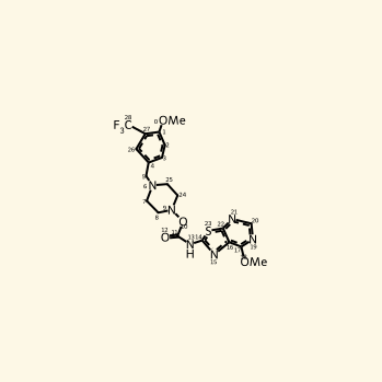 COc1ccc(CN2CCN(OC(=O)Nc3nc4c(OC)ncnc4s3)CC2)cc1C(F)(F)F